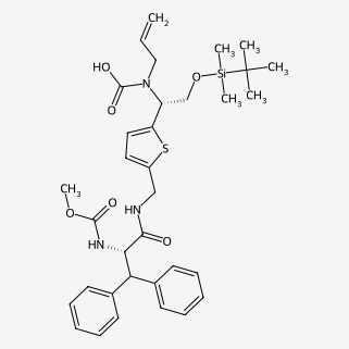 C=CCN(C(=O)O)[C@H](CO[Si](C)(C)C(C)(C)C)c1ccc(CNC(=O)[C@@H](NC(=O)OC)C(c2ccccc2)c2ccccc2)s1